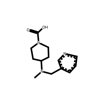 CN(Cc1cccnc1)C1CCN(C(=O)O)CC1